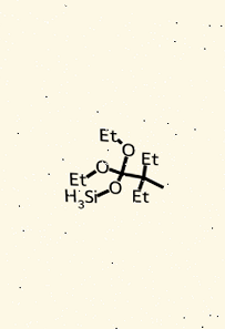 CCOC(O[SiH3])(OCC)C(C)(CC)CC